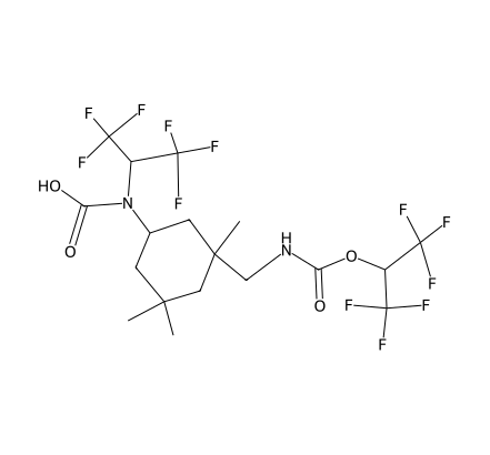 CC1(C)CC(N(C(=O)O)C(C(F)(F)F)C(F)(F)F)CC(C)(CNC(=O)OC(C(F)(F)F)C(F)(F)F)C1